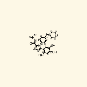 CC(C)c1cc(-c2nnc(C(=O)NN(C)C)n2-c2ccc(CN3CCOCC3)cc2)c(O)cc1O